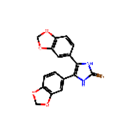 S=c1[nH]c(-c2ccc3c(c2)OCO3)c(-c2ccc3c(c2)OCO3)[nH]1